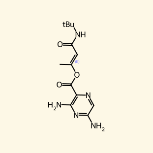 C/C(=C\C(=O)NC(C)(C)C)OC(=O)c1ncc(N)nc1N